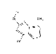 CCOc1cc(C(C)C)c2cccc(C)c2n1